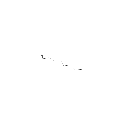 CCOCCCC[C]=O